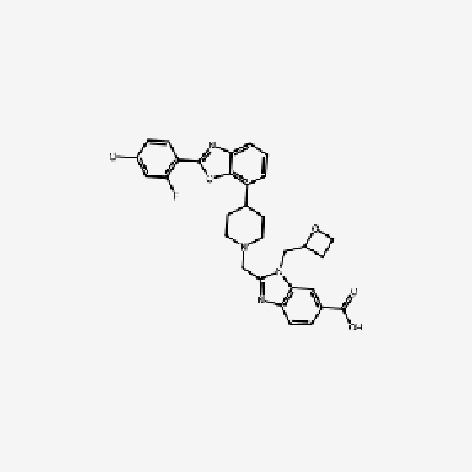 O=C(O)c1ccc2nc(CN3CCC(c4cccc5nc(-c6ccc(Cl)cc6F)oc45)CC3)n(CC3CCO3)c2c1